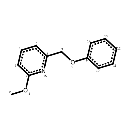 COc1cccc(COc2cc[c]cc2)n1